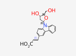 O=C(O)/C=C/c1ccc2c(c1)c1ccccc1n2[C@H]1CC(O)[C@@H](CO)O1